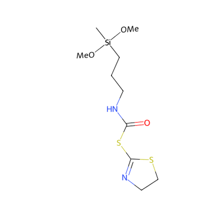 CO[Si](C)(CCCNC(=O)SC1=NCCS1)OC